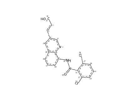 O=C(O)/C=C/c1cnc2c(NC(=O)c3c(Cl)cccc3Cl)cccc2c1